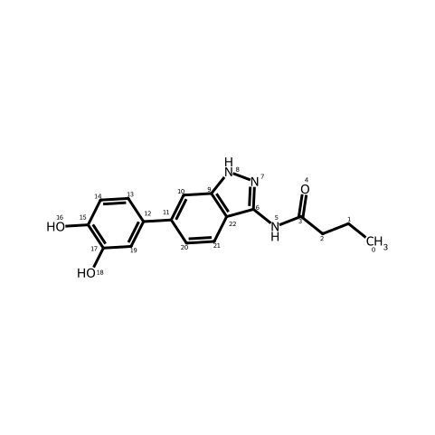 CCCC(=O)Nc1n[nH]c2cc(-c3ccc(O)c(O)c3)ccc12